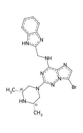 C[C@@H]1CN(c2nc(NCc3nc4ccccc4[nH]3)c3ncc(Br)n3n2)C[C@H](C)N1